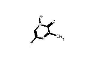 Cc1nc(F)cn(C(C)C)c1=O